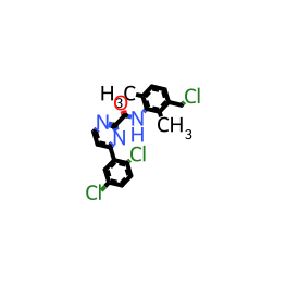 Cc1ccc(CCl)c(C)c1NC(=O)c1nccc(-c2cc(Cl)ccc2Cl)n1